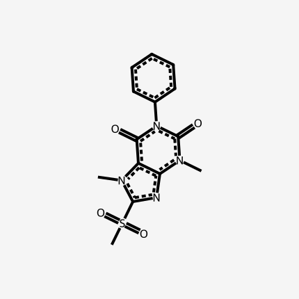 Cn1c(S(C)(=O)=O)nc2c1c(=O)n(-c1ccccc1)c(=O)n2C